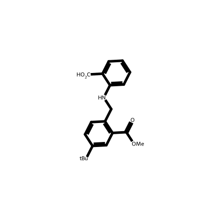 COC(=O)c1cc(C(C)(C)C)ccc1CNc1ccccc1C(=O)O